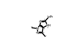 CCCc1nc2c([nH]1)c(C)nn2C